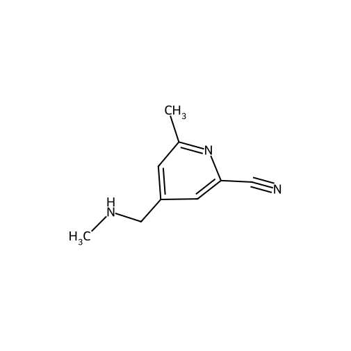 CNCc1cc(C)nc(C#N)c1